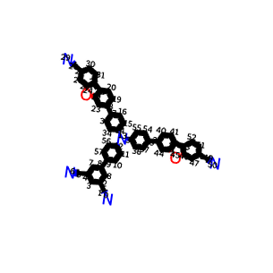 N#Cc1cc(C#N)cc(-c2ccc(N(c3ccc(-c4ccc5c(c4)oc4cc(C#N)ccc45)cc3)c3ccc(-c4ccc5c(c4)oc4cc(C#N)ccc45)cc3)cc2)c1